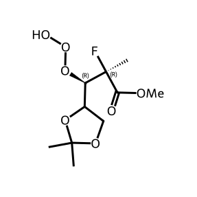 COC(=O)[C@](C)(F)[C@H](OOO)C1COC(C)(C)O1